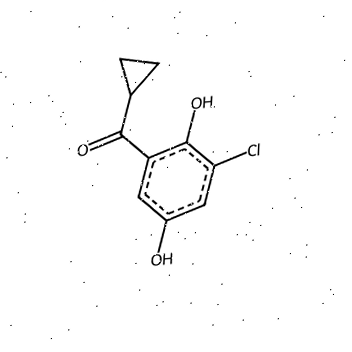 O=C(c1cc(O)cc(Cl)c1O)C1CC1